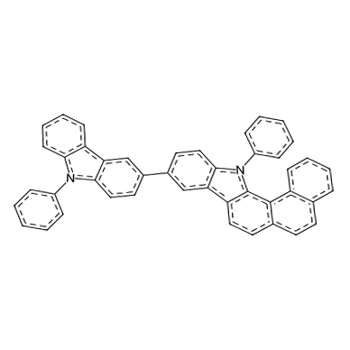 c1ccc(-n2c3ccccc3c3cc(-c4ccc5c(c4)c4ccc6ccc7ccccc7c6c4n5-c4ccccc4)ccc32)cc1